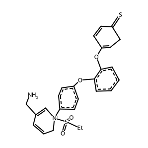 CCS(=O)(=O)[N+]1(c2ccc(Oc3ccccc3OC3=CCC(=S)C=C3)cc2)C=C(CN)C=CC1